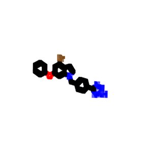 Brc1cc(Oc2ccccc2)cc2c1ccn2Cc1ccc(-c2nn[nH]n2)cc1